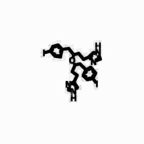 Ic1ccc(CC(CCc2c[nH]cn2)OC(CCc2c[nH]cn2)Cc2ccc(I)cc2)cc1